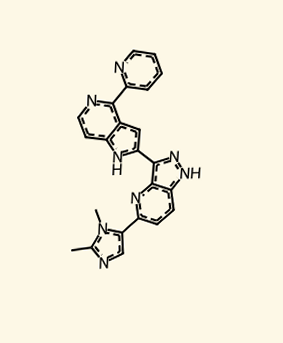 Cc1ncc(-c2ccc3[nH]nc(-c4cc5c(-c6ccccn6)nccc5[nH]4)c3n2)n1C